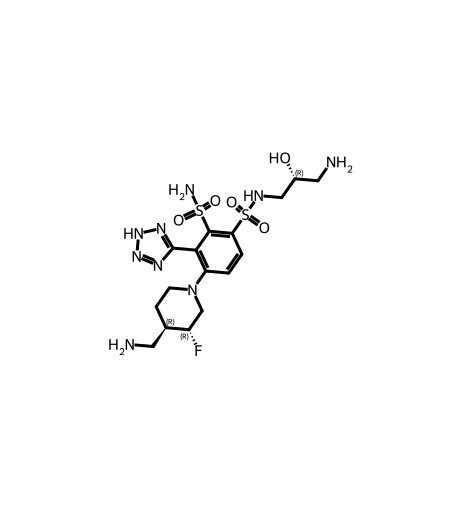 NC[C@@H](O)CNS(=O)(=O)c1ccc(N2CC[C@H](CN)[C@@H](F)C2)c(-c2nn[nH]n2)c1S(N)(=O)=O